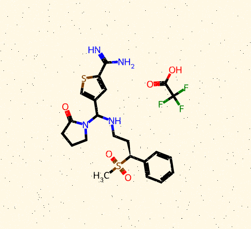 CS(=O)(=O)[C@@H](CCNC(c1csc(C(=N)N)c1)N1CCCC1=O)c1ccccc1.O=C(O)C(F)(F)F